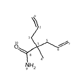 C=CCC(C)(CC=C)C(N)=O